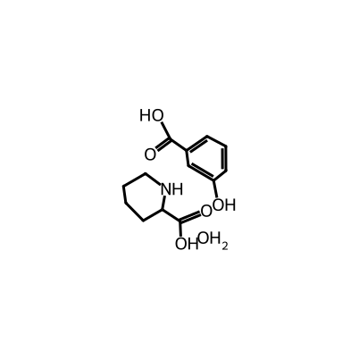 O.O=C(O)C1CCCCN1.O=C(O)c1cccc(O)c1